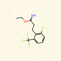 CCOC(=N)CCc1c(F)cccc1C(F)(F)F